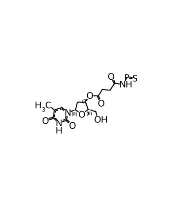 Cc1cn([C@H]2C[C@@H](OC(=O)CCC(=O)NP=S)[C@@H](CO)O2)c(=O)[nH]c1=O